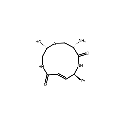 CC(C)[C@H]1/C=C/C(=O)NC[C@H](O)SC[C@H](N)C(=O)N1